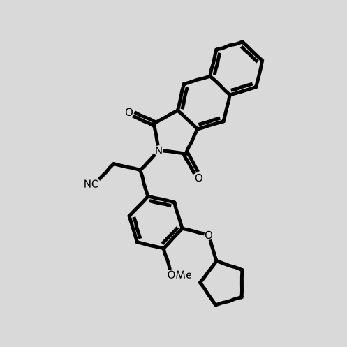 COc1ccc(C(CC#N)N2C(=O)c3cc4ccccc4cc3C2=O)cc1OC1CCCC1